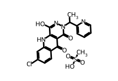 CC(c1ccccn1)n1nc(O)c2[nH]c3cc(Cl)ccc3c(=O)c2c1=O.CS(=O)(=O)O